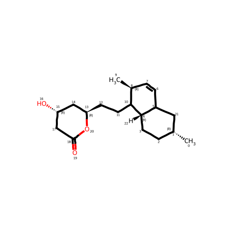 C[C@@H]1CC[C@H]2C(C=C[C@H](C)C2CC[C@@H]2C[C@@H](O)CC(=O)O2)C1